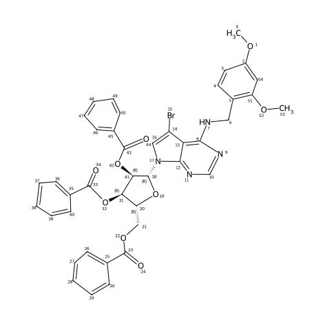 COc1ccc(CNc2ncnc3c2c(Br)cn3[C@@H]2O[C@H](COC(=O)c3ccccc3)[C@@H](OC(=O)c3ccccc3)[C@H]2OC(=O)c2ccccc2)c(OC)c1